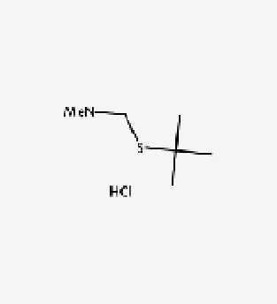 CNCSC(C)(C)C.Cl